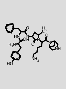 CC1CC(NC(=O)C(Cc2ccccc2)NC(=O)C(N)Cc2ccc(O)cc2)C(=O)N1C(CCCCN)C(=O)N1C2CNCC1C2